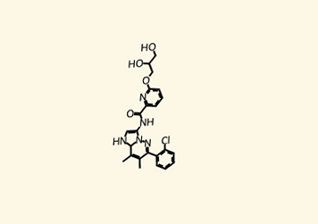 CC1=C(C)C2NC=C(NC(=O)c3cccc(OCC(O)CO)n3)N2N=C1c1ccccc1Cl